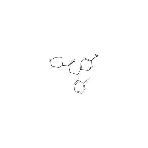 Cc1ccccc1C(CC(=O)C1CCSCC1)c1ccc(Br)cc1